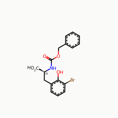 O=C(N[C@@H](Cc1cccc(Br)c1O)C(=O)O)OCc1ccccc1